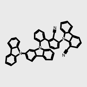 N#Cc1c(-c2ccccc2-n2c3ccccc3c3ccc(-n4c5ccccc5c5ccccc54)cc32)cccc1-n1c2ccccc2c2cccc(C#N)c21